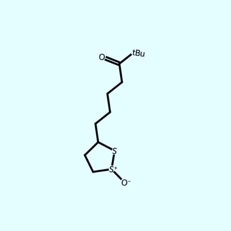 CC(C)(C)C(=O)CCCCC1CC[S+]([O-])S1